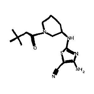 CC(C)(C)CC(=O)N1CCCC(Nc2nc(N)c(C#N)s2)C1